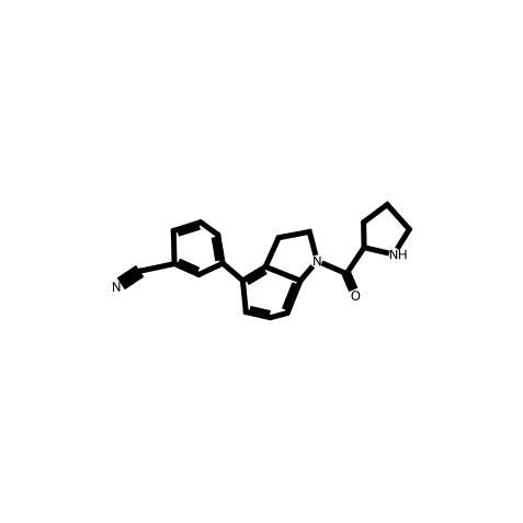 N#Cc1cccc(-c2cccc3c2CCN3C(=O)C2CCCN2)c1